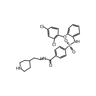 O=C(NCCC1CCNCC1)c1ccc(S(=O)(=O)Nc2ccccc2Oc2ccc(Cl)cc2Cl)cc1